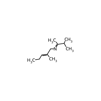 CC/C=C(\C)C/N=C(\C)C(C)C